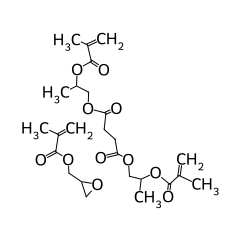 C=C(C)C(=O)OC(C)COC(=O)CCC(=O)OCC(C)OC(=O)C(=C)C.C=C(C)C(=O)OCC1CO1